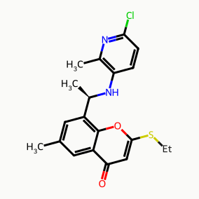 CCSc1cc(=O)c2cc(C)cc([C@@H](C)Nc3ccc(Cl)nc3C)c2o1